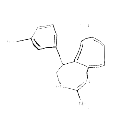 Cc1cccc(C2CNC(N)=Nc3ccccc32)c1.Cl